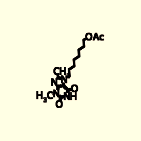 CC(=O)OCCCCCCCCn1c(C)nc2c1c(=O)[nH]c(=O)n2C